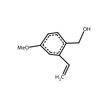 C=Cc1cc(OC)ccc1CO